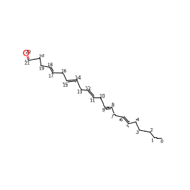 CCCCC/C=C/C/C=C/C/C=C/C/C=C/C/C=C/CC[C]=O